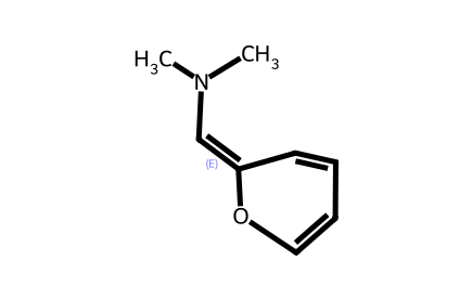 CN(C)/C=C1\C=CC=CO1